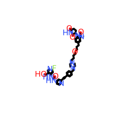 Cn1c(=O)n(C2CCC(=O)NC2=O)c2ccc(CCCOCCCCN3CCN(Cc4ccc(C#Cc5cc(NC(=O)Nc6cc(F)ncc6CO)ccn5)cc4)CC3)cc21